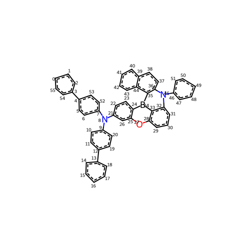 c1ccc(-c2ccc(N(c3ccc(-c4ccccc4)cc3)c3ccc4c(c3)Oc3cccc5c3B4c3c(ccc4ccccc34)N5c3ccccc3)cc2)cc1